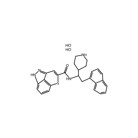 Cl.Cl.O=C(NC(Cc1cccc2ccccc12)C1CCNCC1)C1=Cc2n[nH]c3cccc(c23)S1